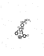 COC(=O)NC1CCC(NC(=O)[C@H](Cc2ccccc2)NC(=O)/C=C/c2cc(Cl)ccc2-n2cnnn2)CC1